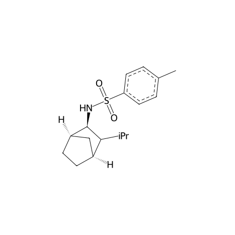 Cc1ccc(S(=O)(=O)N[C@H]2C(C(C)C)[C@H]3CC[C@@H]2C3)cc1